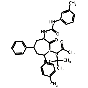 CC(=O)N(N1C(=O)C(NC(=O)Nc2cccc(C)c2)CC(c2ccccc2)CC1c1ccc(C)cc1)C(C)(C)C